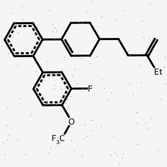 C=C(CC)CCC1CC=C(c2ccccc2-c2ccc(OC(F)(F)F)c(F)c2)CC1